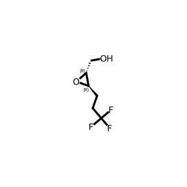 OC[C@H]1O[C@@H]1CCC(F)(F)F